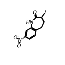 O=C1Nc2cc([N+](=O)[O-])ccc2CCC1I